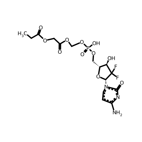 CCC(=O)OCC(=O)OCOP(=O)(O)OC[C@H]1O[C@@H](n2ccc(N)nc2=O)C(F)(F)[C@@H]1O